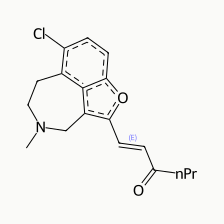 CCCC(=O)/C=C/c1oc2ccc(Cl)c3c2c1CN(C)CC3